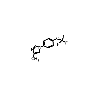 Cc1cn(-c2ccc(OC(F)(F)F)cc2)cn1